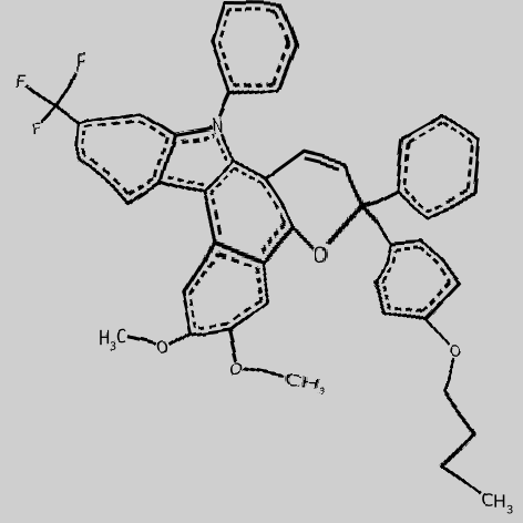 CCCCOc1ccc(C2(c3ccccc3)C=Cc3c(c4cc(OC)c(OC)cc4c4c5ccc(C(F)(F)F)cc5n(-c5ccccc5)c34)O2)cc1